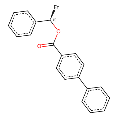 CC[C@@H](OC(=O)c1ccc(-c2ccccc2)cc1)c1ccccc1